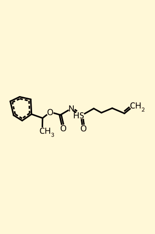 C=CCCC/[SH](=O)=N/C(=O)OC(C)c1ccccc1